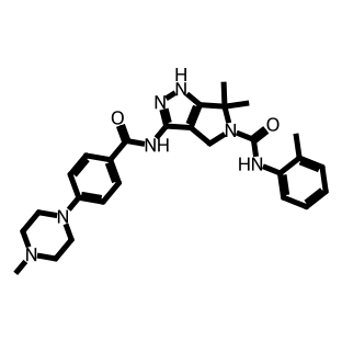 Cc1ccccc1NC(=O)N1Cc2c(NC(=O)c3ccc(N4CCN(C)CC4)cc3)n[nH]c2C1(C)C